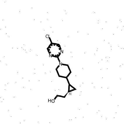 OCC[C@@H]1CC1C1CCN(c2ncc(Cl)cn2)CC1